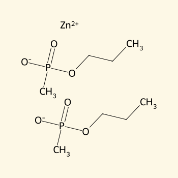 CCCOP(C)(=O)[O-].CCCOP(C)(=O)[O-].[Zn+2]